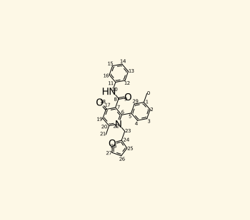 Cc1cccc(-c2c(C(=O)Nc3ccccc3)c(=O)cc(C)n2Cc2ccco2)c1